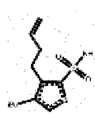 C=CCCc1c(C(C)CC)csc1S(N)(=O)=O